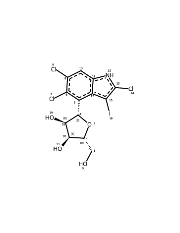 OC[C@H]1O[C@@H](c2c(Cl)c(Cl)cc3[nH]c(Cl)c(I)c23)[C@H](O)[C@@H]1O